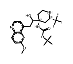 COc1ccc2nccc(CC(O)[C@]3(NC(=O)OC(C)(C)C)CCN[C@H](C(F)(F)F)C3)c2n1